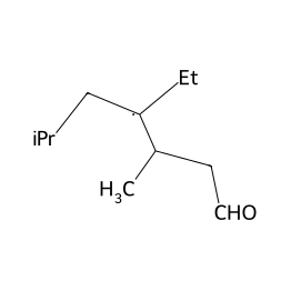 CC[C](CC(C)C)C(C)CC=O